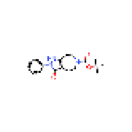 CC(C)(C)OC(=O)N1CCc2[nH]n(-c3ccccc3)c(=O)c2CC1